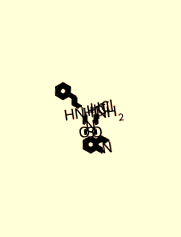 Cl.Cl.Cl.NCCN(CCNC/C=C/c1ccccc1)S(=O)(=O)c1cccc2cnccc12